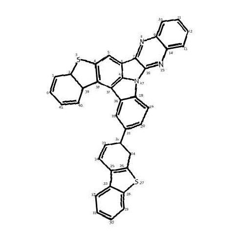 C1=CC2Sc3cc4c5nc6ccccc6nc5n5c6ccc(C7C=Cc8c(sc9ccccc89)C7)cc6c(c3C2C=C1)c45